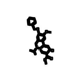 COC(=O)c1cn2c(cc1=O)-c1cc(OC)c(OCc3ccccc3)cc1CN2C(C)C